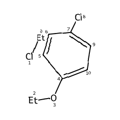 CCCl.CCOc1ccc(Cl)cc1